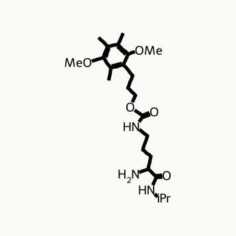 COc1c(C)c(C)c(OC)c(CCCOC(=O)NCCCC(N)C(=O)NC(C)C)c1C